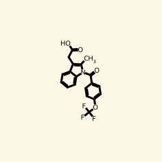 Cc1c(CC(=O)O)c2ccccc2n1C(=O)c1ccc(OC(F)(F)F)cc1